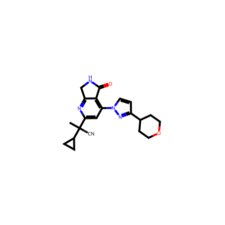 CC(C#N)(c1cc(-n2ccc(C3CCOCC3)n2)c2c(n1)CNC2=O)C1CC1